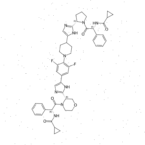 O=C(N[C@@H](C(=O)N1CCOC[C@H]1c1ncc(-c2cc(F)c(N3CCC(c4cnc([C@@H]5CCCN5C(=O)[C@H](NC(=O)C5CC5)c5ccccc5)[nH]4)CC3)c(F)c2)[nH]1)c1ccccc1)C1CC1